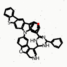 C1=C(C2NC(c3ccccc3)=NC(c3ccccc3)N2)c2c(oc3ccc(-n4c5ccccc5c5cc6c(cc54)sc4ccccc46)cc23)CN1